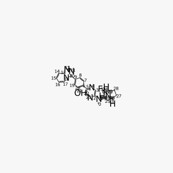 CN(c1cnc(-c2ccc(-c3nnc4ccccn34)cc2O)cn1)[C@@H]1C[C@H]2CC[C@H](N2)[C@@H]1F